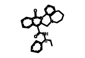 CC[C@H](NC(=O)c1c(CN2CCCCCC2)n(-c2ccccc2)c(=O)c2ccccc12)c1ccccc1